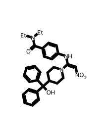 CCN(CC)C(=O)c1ccc(N/C(=C/[N+](=O)[O-])N2CCC(C(O)(c3ccccc3)c3ccccc3)CC2)cc1